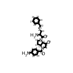 Nc1ccc(C(=O)N2CC(=O)C3C2CCN3C(=O)[C@@H](N)CSCc2ccccc2)cc1